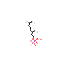 CC(C)=CCC/C(C)=C/COP(=O)(OO)P(=O)(O)O